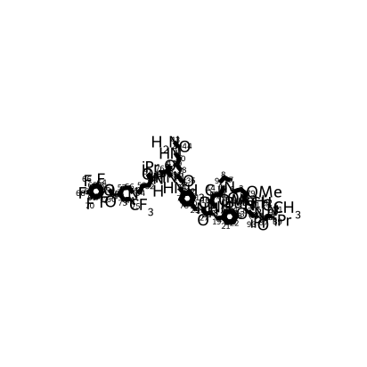 CC[C@H](C)[C@@H]([C@@H](CC(=O)N1CCC[C@H]1[C@H](OC)[C@@H](C)C(=O)N[C@@H](Cc1ccccc1)C(=O)NCc1ccc(NC(=O)[C@H](CCCNC(N)=O)NC(=O)[C@@H](NC(=O)CCCN2CC[C@H](C(=O)Oc3c(F)c(F)c(F)c(F)c3F)C[C@@H]2C(F)(F)F)C(C)C)cc1)OC)N(C)C(=O)[C@@H](NC(=O)[C@H](C(C)C)N(C)C)C(C)C